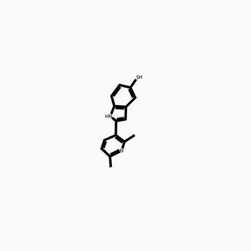 Cc1ccc(-c2cc3cc(S)ccc3[nH]2)c(C)n1